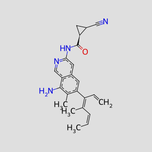 C=C/C(=C(C)\C=C/C)c1cc2cc(NC(=O)[C@H]3CC3C#N)ncc2c(N)c1C